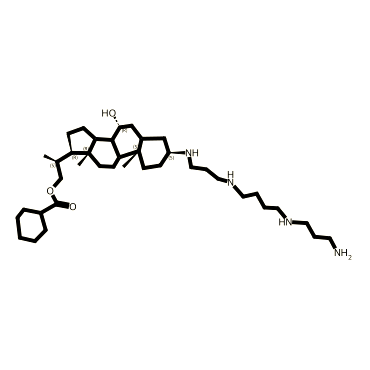 C[C@H](COC(=O)C1CCCCC1)[C@H]1CCC2C3C(CC[C@@]21C)[C@@]1(C)CC[C@H](NCCCNCCCCNCCCN)CC1C[C@H]3O